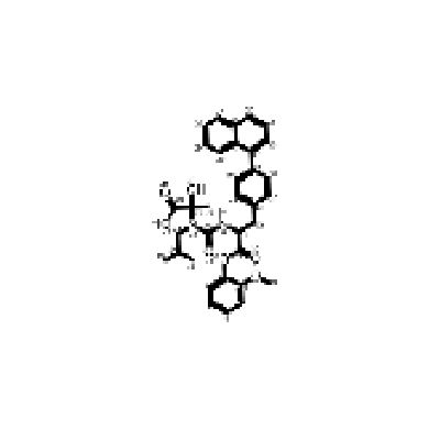 COc1ccccc1OC(=O)C(Cc1ccc(-c2cccc3ccccc23)cc1)NC(=O)N(CC(C)C)C(C)(O)C(=O)O